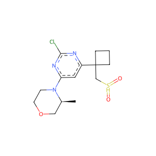 C[C@H]1COCCN1c1cc(C2(C[SH](=O)=O)CCC2)nc(Cl)n1